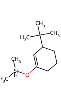 C[SiH](C)OC1=CC(C(C)(C)C)CCC1